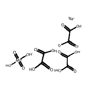 O=C(O)C(=O)O.O=C(O)C(=O)O.O=C([O-])C(=O)O.[Na+].[O]=[Mn](=[O])([OH])[OH]